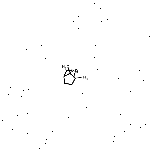 CC12CCC(CN1)C2(C)C